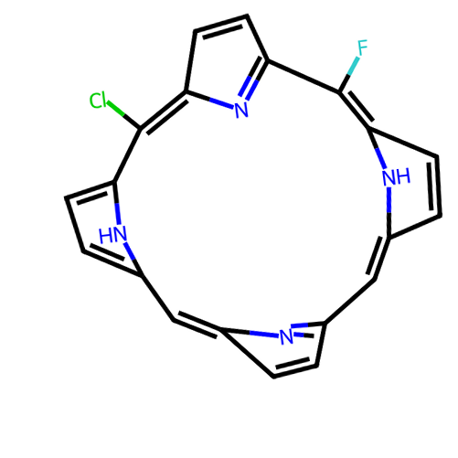 Fc1c2nc(c(Cl)c3ccc(cc4nc(cc5ccc1[nH]5)C=C4)[nH]3)C=C2